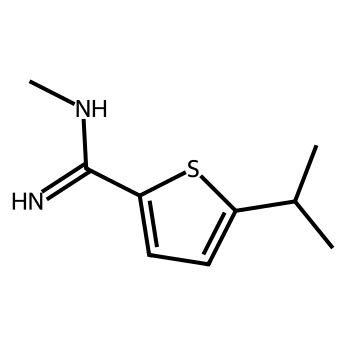 CNC(=N)c1ccc(C(C)C)s1